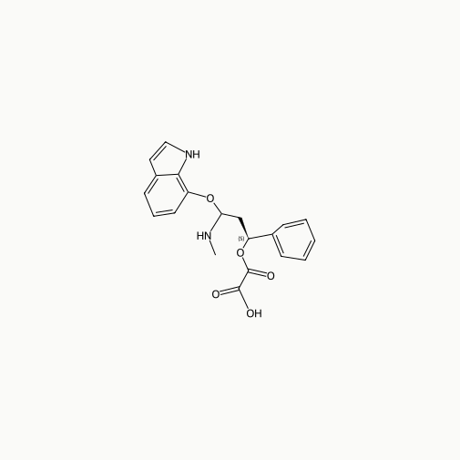 CNC(C[C@H](OC(=O)C(=O)O)c1ccccc1)Oc1cccc2cc[nH]c12